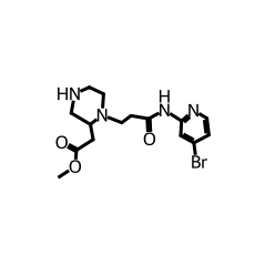 COC(=O)CC1CNCCN1CCC(=O)Nc1cc(Br)ccn1